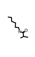 CCCCCC[N]C(=O)C(C)C